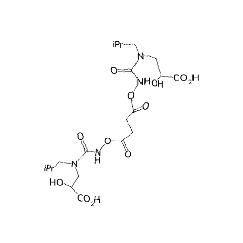 CC(C)CN(CC(O)C(=O)O)C(=O)NOC(=O)CCC(=O)ONC(=O)N(CC(C)C)CC(O)C(=O)O